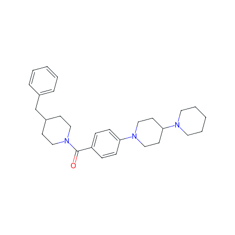 O=C(c1ccc(N2CCC(N3CCCCC3)CC2)cc1)N1CCC(Cc2ccccc2)CC1